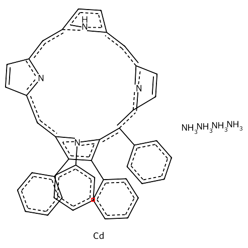 C1=Cc2cc3c(-c4ccccc4)c(-c4ccccc4)c(c(-c4ccccc4)c4nc(cc5ccc(cc1n2)[nH]5)C=C4)n3-c1ccccc1.N.N.N.N.[Cd]